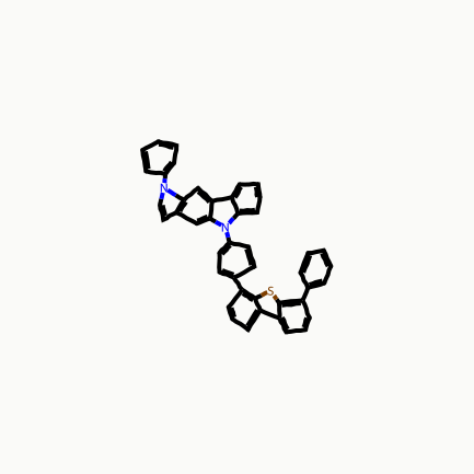 c1ccc(-c2cccc3c2sc2c(-c4ccc(-n5c6ccccc6c6cc7c(ccn7-c7ccccc7)cc65)cc4)cccc23)cc1